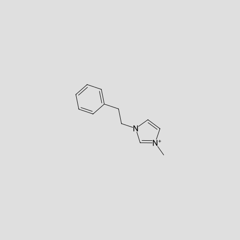 C[n+]1ccn(CCc2ccccc2)c1